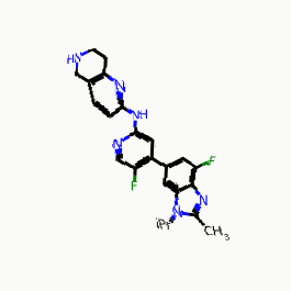 Cc1nc2c(F)cc(-c3cc(Nc4ccc5c(n4)CCNC5)ncc3F)cc2n1C(C)C